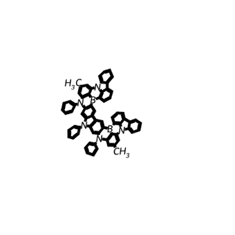 Cc1cc2c3c(c1)-n1c4ccccc4c4cccc(c41)B3c1cc3c4cc5c(cc4n(-c4ccccc4)c3cc1N2c1ccccc1)N(c1ccccc1)c1cc(C)cc2c1B5c1cccc3c4ccccc4n-2c13